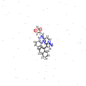 C1=C(CN(Cc2ccccc2)c2ccn3ncc(-c4cccc5ccccc45)c3n2)OCO1